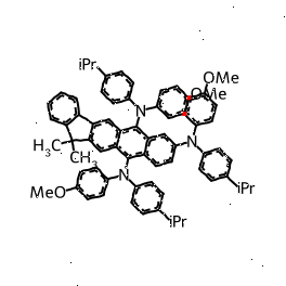 COc1ccc(N(c2ccc(C(C)C)cc2)c2ccc3c(N(c4ccc(OC)cc4)c4ccc(C(C)C)cc4)c4cc5c(cc4c(N(c4ccc(OC)cc4)c4ccc(C(C)C)cc4)c3c2)-c2ccccc2C5(C)C)cc1